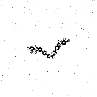 C[C@H]1CC2(CCN(c3cnc(C(=O)N4CC[C@@H](N5CCN(c6ccc7c(c6)C(=O)N(C6CCC(=O)NC6=O)C7=O)CC5)C4)nc3)CC2)CN1c1ccc(C#N)c(Cl)c1